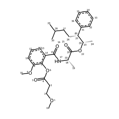 COCCC(=O)Oc1c(OC)ccnc1C(=O)N[C@@H](C)C(=O)O[C@@H](C)[C@H](CCC(C)C)c1ccccc1